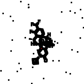 C[C@@H](NC(=O)c1cn(C23CC(C2)C3)c(=O)cc1N[C@@H]1[C@@H]2CC[C@H]1CN(C)C2)c1cccc(C(F)F)c1F